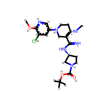 CNC1=C(C(=N)N[C@H]2CCN(C(=O)OC(C)(C)C)C2)CN(c2cnc(OC)c(Cl)c2)CC1